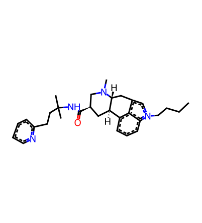 CCCCn1cc2c3c(cccc31)[C@H]1C[C@@H](C(=O)NC(C)(C)CCc3ccccn3)CN(C)[C@@H]1C2